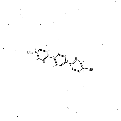 CC[n+]1ccc(-c2ccc(-c3cc[n+](CC)cc3)cc2)cc1